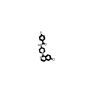 O=C(NC1CCN(c2nccc3cc(Cl)ccc23)CC1)c1ccc(F)cc1